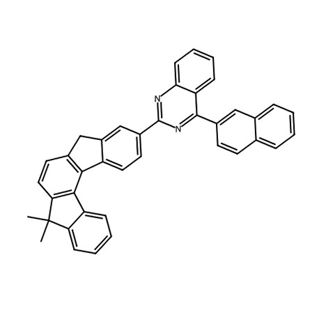 CC1(C)c2ccccc2-c2c1ccc1c2-c2ccc(-c3nc(-c4ccc5ccccc5c4)c4ccccc4n3)cc2C1